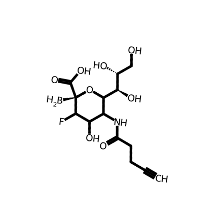 B[C@@]1(C(=O)O)OC([C@H](O)[C@H](O)CO)C(NC(=O)CCC#C)C(O)C1F